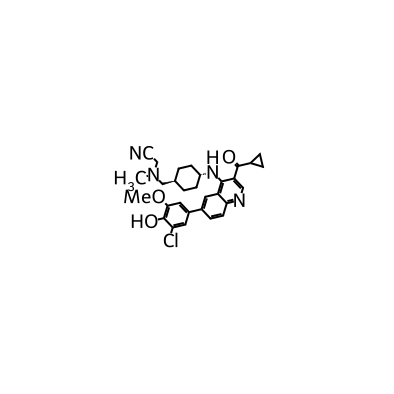 COc1cc(-c2ccc3ncc(C(=O)C4CC4)c(N[C@H]4CC[C@H](CN(C)CC#N)CC4)c3c2)cc(Cl)c1O